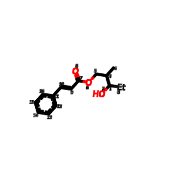 CCC(O)C(C)COC(=O)/C=C/c1ccccc1